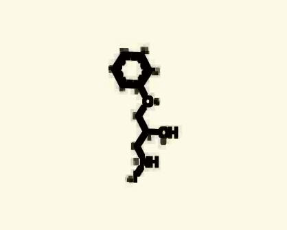 OC(CNI)COc1ccccc1